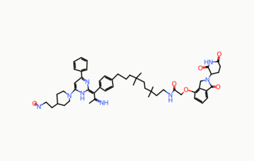 CC(=N)/C(=C1/N=C(c2ccccc2)C=C(N2CCC(CCN=O)CC2)N1)c1ccc(CCCC(C)(C)CCC(C)(C)CCNC(=O)COc2cccc3c2CN(C2CCC(=O)NC2=O)C3=O)cc1